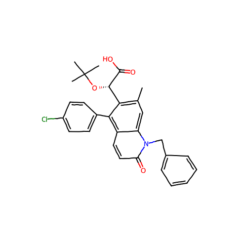 Cc1cc2c(ccc(=O)n2Cc2ccccc2)c(-c2ccc(Cl)cc2)c1[C@H](OC(C)(C)C)C(=O)O